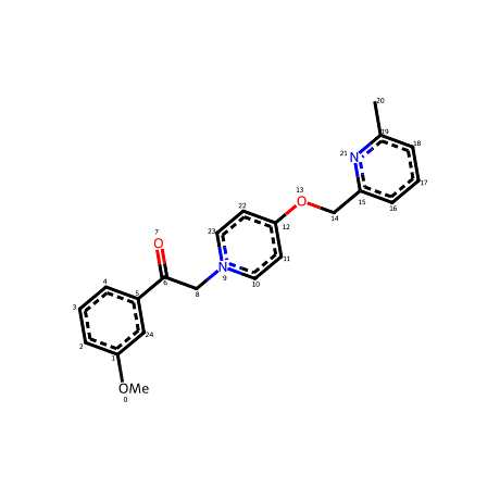 COc1cccc(C(=O)C[n+]2ccc(OCc3cccc(C)n3)cc2)c1